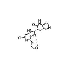 C[C@@H]1COCCN1c1nc(Cl)cc2[nH]c(-c3cc4cnccc4[nH]c3=O)nc12